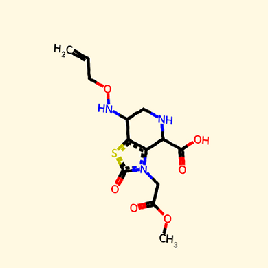 C=CCONC1CNC(C(=O)O)c2c1sc(=O)n2CC(=O)OC